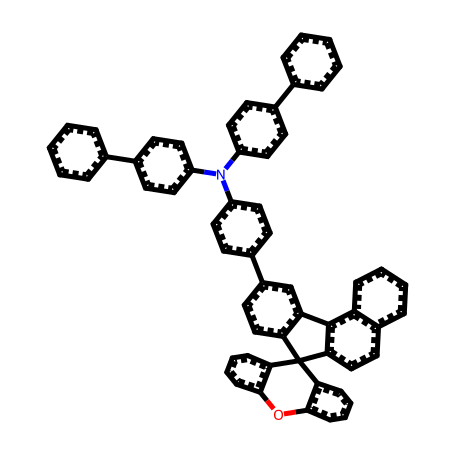 c1ccc(-c2ccc(N(c3ccc(-c4ccccc4)cc3)c3ccc(-c4ccc5c(c4)-c4c(ccc6ccccc46)C54c5ccccc5Oc5ccccc54)cc3)cc2)cc1